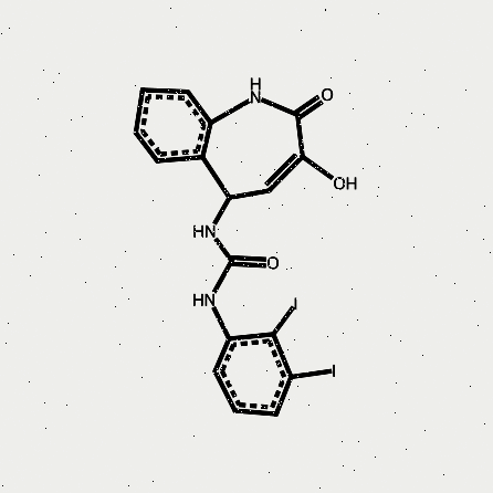 O=C(Nc1cccc(I)c1I)NC1C=C(O)C(=O)Nc2ccccc21